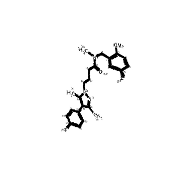 COc1ccc(F)cc1CN(C)C(=O)CCCn1nc(C)c(-c2ccc(F)cc2)c1C